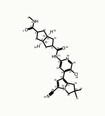 CNC(=O)C1C[C@@H]2CC(C(=O)Nc3cc(-c4cc(C#N)n5c4CC(C)(C)C5)c(Cl)cn3)C[C@@H]2C1